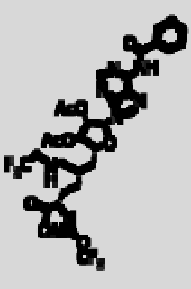 COC(=O)[C@H](CC[C@H](CNCC(F)(F)F)C[C@H]1O[C@@H](n2cnc3c(NC(=O)c4ccccc4)ncnc32)[C@@H](OC(C)=O)C1OC(C)=O)N=COC(F)(F)F